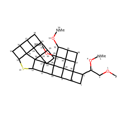 CNOCC(ONC)C1CC2C3C4C5C6SC7CC8C9CC%10C%11CC%12C%11%13C9%10C78C6%13C5%12C45C4(ONC)C(ONC)C6CC7C12C35C674